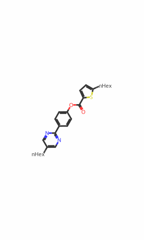 CCCCCCc1cnc(-c2ccc(OC(=O)c3ccc(CCCCCC)s3)cc2)nc1